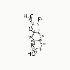 CCC(CF)Oc1ccc2ccc(O)nc2c1